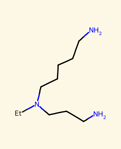 CCN(CCCN)CCCCCN